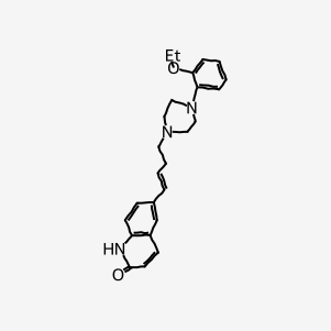 CCOc1ccccc1N1CCN(CC/C=C/c2ccc3[nH]c(=O)ccc3c2)CC1